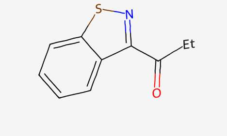 CCC(=O)c1nsc2ccccc12